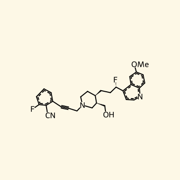 COc1ccc2nccc([C@@H](F)CC[C@@H]3CCN(CC#Cc4cccc(F)c4C#N)C[C@@H]3CO)c2c1